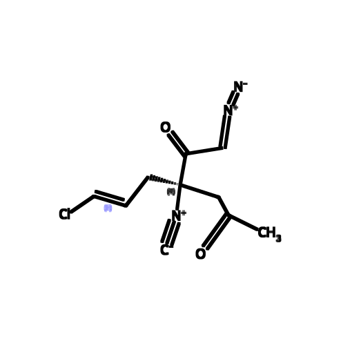 [C-]#[N+][C@](C/C=C/Cl)(CC(C)=O)C(=O)C=[N+]=[N-]